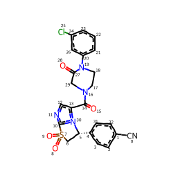 N#Cc1ccc([C@@H]2CS(=O)(=O)c3ncc(C(=O)N4CCN(c5cccc(Cl)c5)C(=O)C4)n32)cc1